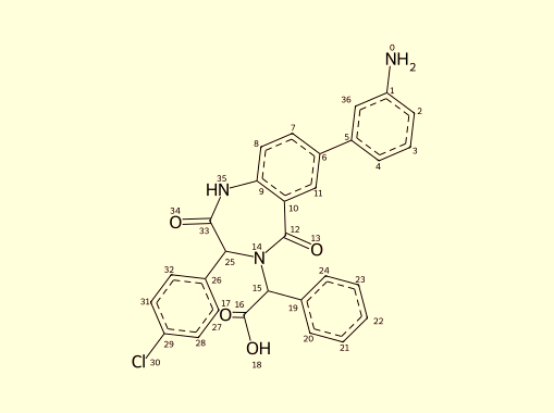 Nc1cccc(-c2ccc3c(c2)C(=O)N(C(C(=O)O)c2ccccc2)C(c2ccc(Cl)cc2)C(=O)N3)c1